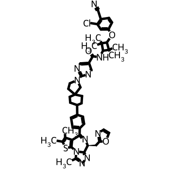 Cc1sc2c(c1C)C(c1ccc(C3CCC4(CC3)CCN(c3ncc(C(=O)NC5C(C)(C)C(Oc6ccc(C#N)c(Cl)c6)C5(C)C)cn3)C4)cc1)=N[C@@H](Cc1ncco1)c1nnc(C)n1-2